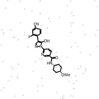 CO[C@H]1CC[C@H](NC(=O)c2ccc(-n3ncc(-c4ccc(C#N)cc4F)c3O)nc2)CC1